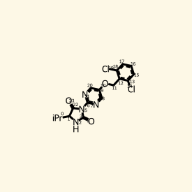 CC(C)C1NC(=O)N(c2ncc(OCc3c(Cl)cccc3Cl)cn2)C1=O